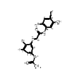 CC(=O)Oc1cc(F)c(F)c(OCC(=O)Oc2cc(O)c(F)cc2F)c1